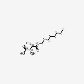 CCCCCCCCOC(=O)[C@@H](O)[C@H](O)C(=O)O